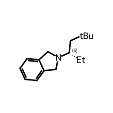 CC[C@@H](CC(C)(C)C)N1Cc2ccccc2C1